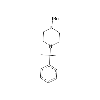 CC(C)(C)N1CCN(C(C)(C)c2ccccc2)CC1